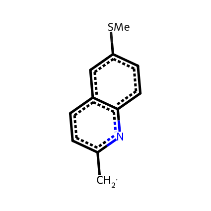 [CH2]c1ccc2cc(SC)ccc2n1